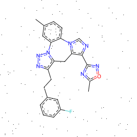 Cc1ccc2c(c1)-n1nnc(CCc3cccc(F)c3)c1Cc1c(-c3noc(C)n3)ncn1-2